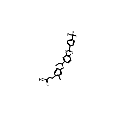 CCC(Sc1ccc(CCC(=O)O)c(C)c1)c1ccc2nc(-c3ccc(C(F)(F)F)cc3)sc2c1